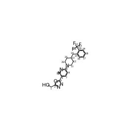 OCc1nnc(-c2ccc(N3CCC(Cc4ccccc4C(F)(F)F)CC3)nn2)o1